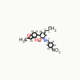 C=CCC1=C/C(=N\Cc2ccc([N+](=O)[O-])cc2)C(O)C(c2ccc3oc(C)cc3c2)=C1